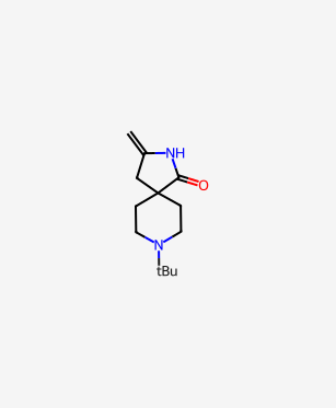 C=C1CC2(CCN(C(C)(C)C)CC2)C(=O)N1